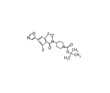 CC(C)(C)OC(=O)N1CCC(N(C(=O)c2c(F)cc(-c3cnco3)cc2F)C2CC2)CC1